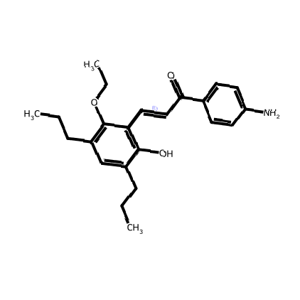 CCCc1cc(CCC)c(OCC)c(/C=C/C(=O)c2ccc(N)cc2)c1O